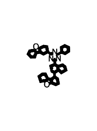 c1ccc(-c2nc(-c3ccc4oc5ccccc5c4c3)nc(-c3ccc(-c4cccc5oc6ccccc6c45)c4ccccc34)n2)cc1